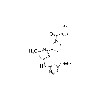 COc1ccnc(Nc2cc(C3CCCN(C(=O)c4ccccc4)C3)nc(C)n2)c1